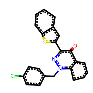 O=c1c(-c2cc3ccccc3s2)nn(Cc2ccc(Cl)cc2)c2ccccc12